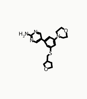 Nc1ncc(-c2cc(SCC3CCOC3)cc(N3CCOCC3)c2)cn1